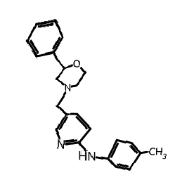 Cc1ccc(Nc2ccc(CN3CCOC(c4ccccc4)C3)cn2)cc1